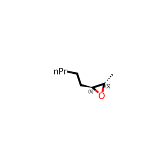 CCCCC[C@@H]1O[C@H]1C